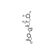 NC(CNc1ncc(-c2ccc3c(c2)CC(=O)N3)s1)Cc1cc(F)cc(F)c1